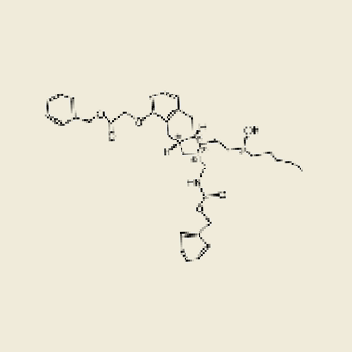 CCCCC[C@H](O)CC[C@H]1[C@H](CNC(=O)OCc2ccccc2)C[C@@H]2Cc3c(cccc3OCC(=O)OCc3ccccc3)C[C@@H]21